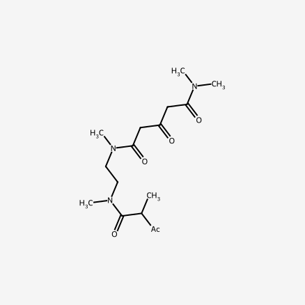 CC(=O)C(C)C(=O)N(C)CCN(C)C(=O)CC(=O)CC(=O)N(C)C